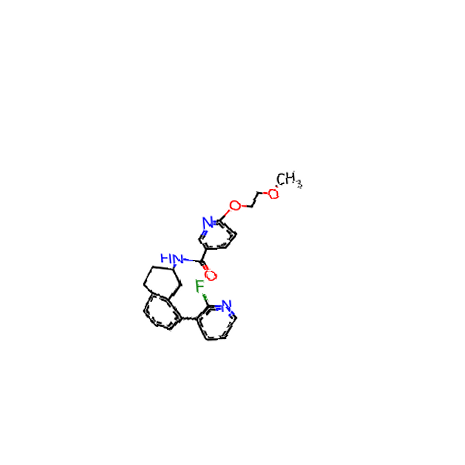 COCCOc1ccc(C(=O)N[C@@H]2CCc3cccc(-c4cccnc4F)c3C2)cn1